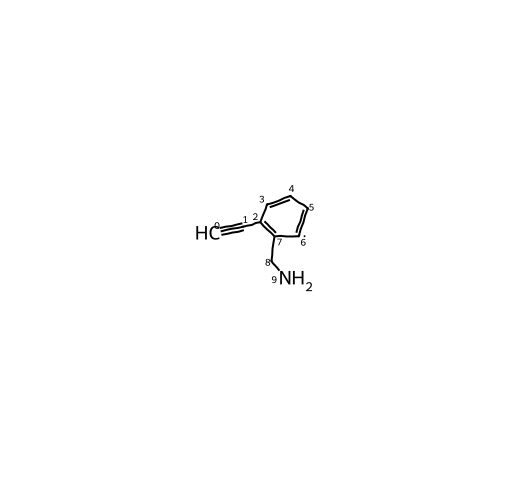 C#Cc1ccc[c]c1CN